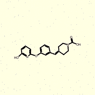 O=C(O)N1CCC(=Cc2cccc(Oc3cccc(O)n3)c2)CC1